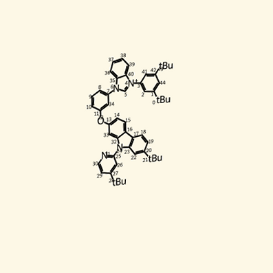 CC(C)(C)c1cc(-[n+]2cn(-c3cccc(Oc4ccc5c6ccc(C(C)(C)C)cc6n(-c6cc(C(C)(C)C)ccn6)c5c4)c3)c3ccccc32)cc(C(C)(C)C)c1